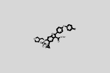 CNC(=O)c1c(-c2ccc(Oc3ccc(F)cc3)cc2)oc2cc(N(CC3CCOC3)S(C)(=O)=O)c(C3CC3)cc12